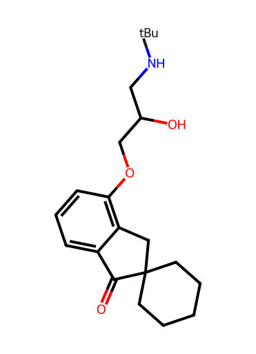 CC(C)(C)NCC(O)COc1cccc2c1CC1(CCCCC1)C2=O